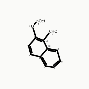 CCCCCCCCOc1ccc2ccccc2c1C=O